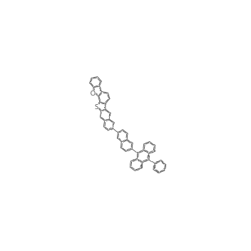 c1ccc(-c2c3ccccc3c(-c3ccc4cc(-c5ccc6cc7sc8c(ccc9c%10ccccc%10oc98)c7cc6c5)ccc4c3)c3ccccc23)cc1